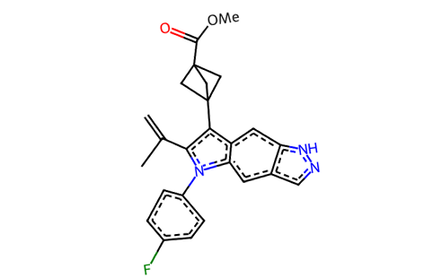 C=C(C)c1c(C23CC(C(=O)OC)(C2)C3)c2cc3[nH]ncc3cc2n1-c1ccc(F)cc1